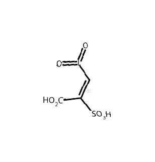 O=C(O)/C(=C\I(=O)=O)S(=O)(=O)O